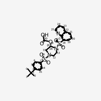 CC(C)(C)c1ccc(S(=O)(=O)N2CCN(S(=O)(=O)c3cccc4cccnc34)[C@H](OC(=O)O)C2)cc1